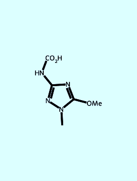 COc1nc(NC(=O)O)nn1C